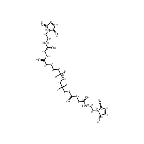 CC(C)(CCC(=O)SCC(=O)NCCN1C(=O)C=CC1=O)COC(C)(C)CCCCC(=O)SCC(=O)NCCN1C(=O)C=CC1=O